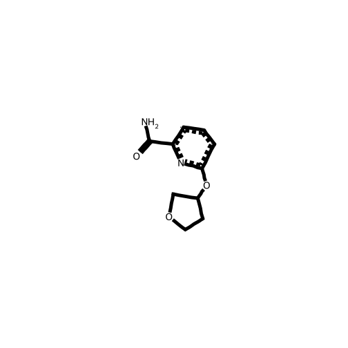 NC(=O)c1[c]ccc(OC2CCOC2)n1